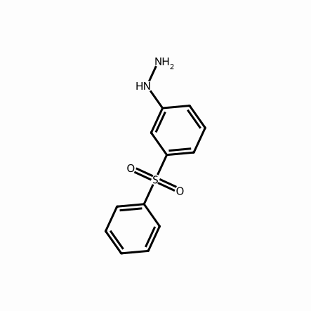 NNc1cccc(S(=O)(=O)c2ccccc2)c1